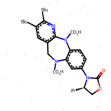 CC(C)[C@@H]1COC(=O)N1c1ccc2c(c1)N(C(=O)O)Cc1cc(C(C)(C)C)c(C(C)(C)C)nc1N2C(=O)O